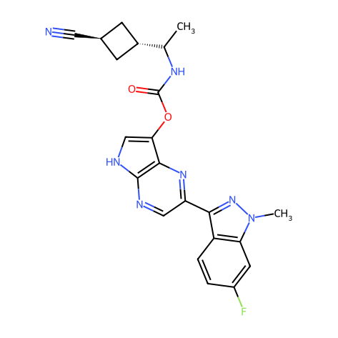 CC(NC(=O)Oc1c[nH]c2ncc(-c3nn(C)c4cc(F)ccc34)nc12)[C@H]1C[C@H](C#N)C1